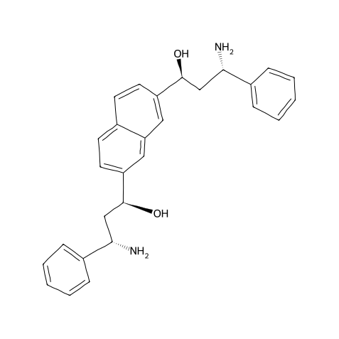 N[C@@H](C[C@H](O)c1ccc2ccc([C@@H](O)C[C@H](N)c3ccccc3)cc2c1)c1ccccc1